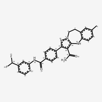 Cc1ccc2c(c1)CCn1nc(-c3ccc(C(=O)Nc4cc(C(F)F)ccn4)cc3)c(C(N)=O)c1N2